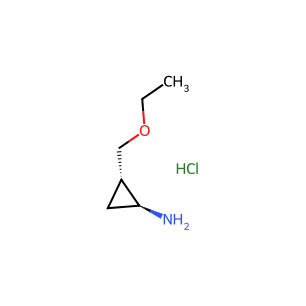 CCOC[C@H]1C[C@@H]1N.Cl